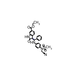 CCOC(=O)c1ccc2c(c1)NC(=O)/C2=C(\Nc1ccc(N(CC#N)S(C)(=O)=O)cc1)c1ccccc1